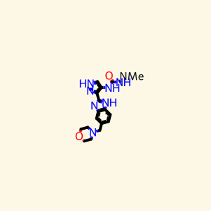 CNNC(=O)Nc1c[nH]nc1-c1nc2cc(CN3CCOCC3)ccc2[nH]1